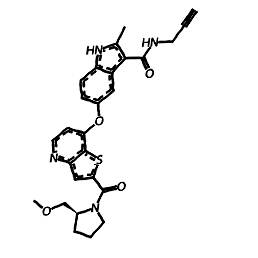 C#CCNC(=O)c1c(C)[nH]c2ccc(Oc3ccnc4cc(C(=O)N5CCC[C@H]5COC)sc34)cc12